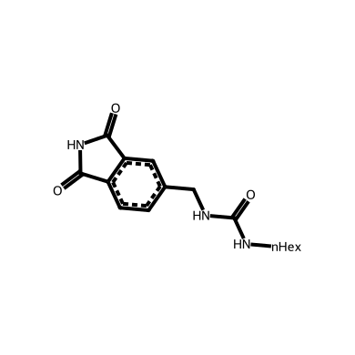 CCCCCCNC(=O)NCc1ccc2c(c1)C(=O)NC2=O